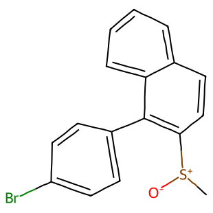 C[S+]([O-])c1ccc2ccccc2c1-c1ccc(Br)cc1